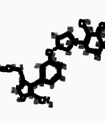 COCc1noc(C)c1-c1ccnc(O[C@@H]2CCN(c3cn[nH]c(=O)c3Cl)C2)c1